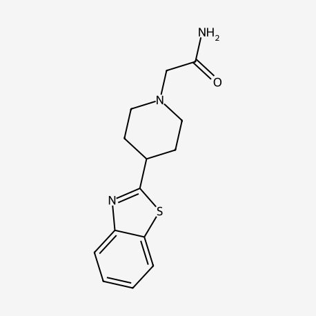 NC(=O)CN1CCC(c2nc3ccccc3s2)CC1